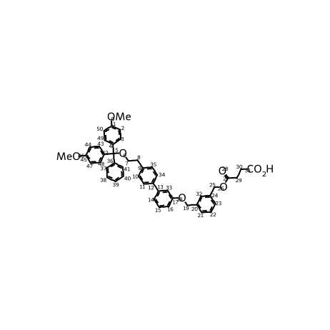 COc1ccc(C(OCCc2ccc(-c3cccc(OCc4cccc(COC(=O)CCC(=O)O)c4)c3)cc2)(c2ccccc2)c2ccc(OC)cc2)cc1